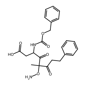 CC(ON)(C(=O)CCc1ccccc1)C(=O)C(CC(=O)O)NC(=O)OCc1ccccc1